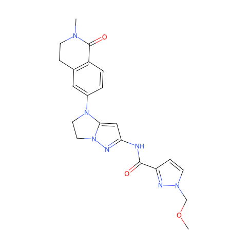 COCn1ccc(C(=O)Nc2cc3n(n2)CCN3c2ccc3c(c2)CCN(C)C3=O)n1